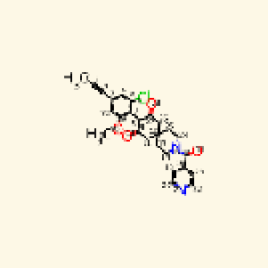 CC#Cc1cc(Cl)c(C2C(=O)CC3(CCN(C(=O)c4ccncc4)CC3)CC2=O)c(OC)c1